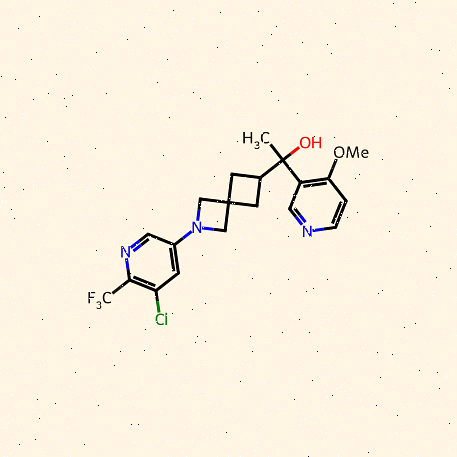 COc1ccncc1C(C)(O)C1CC2(C1)CN(c1cnc(C(F)(F)F)c(Cl)c1)C2